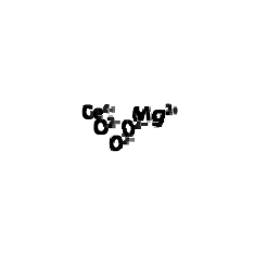 [Ge+4].[Mg+2].[O-2].[O-2].[O-2]